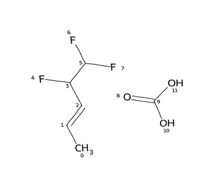 CC=CC(F)C(F)F.O=C(O)O